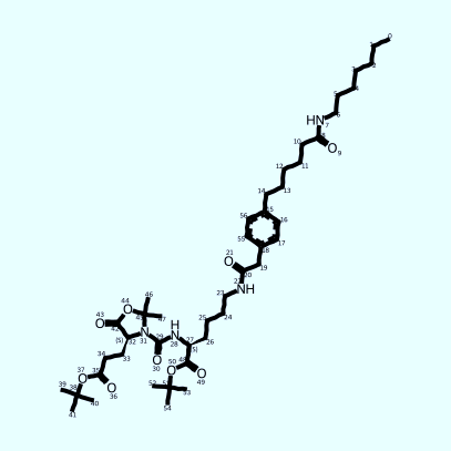 CCCCCCCNC(=O)CCCCCc1ccc(CC(=O)NCCCC[C@H](NC(=O)N2[C@@H](CCC(=O)OC(C)(C)C)C(=O)OC2(C)C)C(=O)OC(C)(C)C)cc1